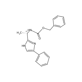 C[C@H](NC(=O)OCc1ccccc1)c1nc(-c2ccccc2)c[nH]1